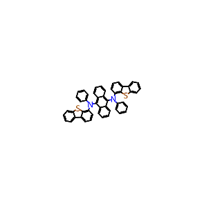 c1ccc(N(c2c3ccccc3c(N(c3ccccc3)c3cccc4c3sc3ccccc34)c3ccccc23)c2cccc3c2sc2ccccc23)cc1